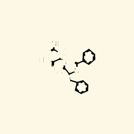 NC(=O)C[C@H](NC(=O)[C@H](Cc1ccccc1)NC(=O)c1ccccc1)C(=O)O